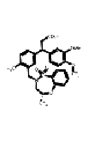 COc1cc(C(CC(=O)O)c2ccc(C)c(CN3C[C@@H](C)Oc4ccccc4S3(=O)=O)c2)ccc1OC(F)(F)F